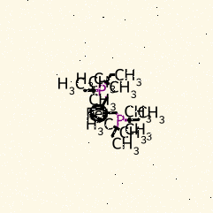 CCC(C)(C)P(C[C]12[CH]3[CH]4[CH]5[C]1(CP(C(C)(C)CC)C(C)(C)CC)[Fe]43521678[CH]2[CH]1[CH]6[CH]7[CH]28)C(C)(C)CC